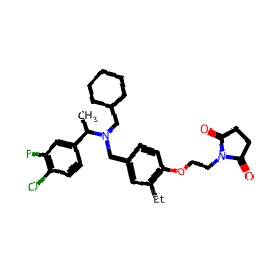 CCc1cc(CN(CC2CCCCC2)C(C)c2ccc(Cl)c(F)c2)ccc1OCCN1C(=O)CCC1=O